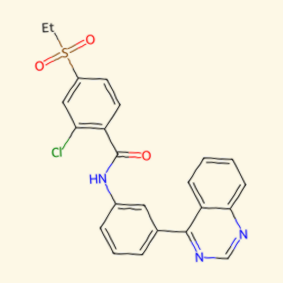 CCS(=O)(=O)c1ccc(C(=O)Nc2cccc(-c3ncnc4ccccc34)c2)c(Cl)c1